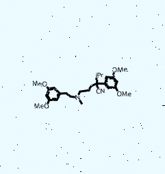 COc1cc(CCN(C)CCCC(C#N)(c2cc(OC)cc(OC)c2)C(C)C)cc(OC)c1